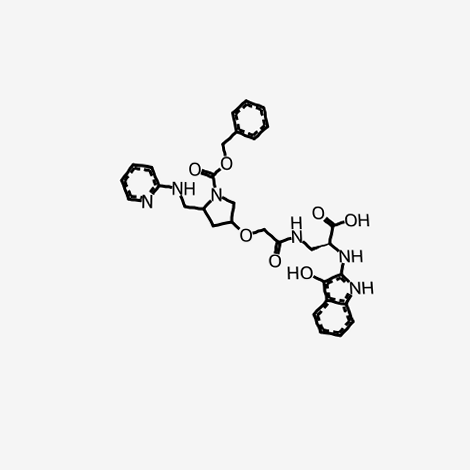 O=C(COC1CC(CNc2ccccn2)N(C(=O)OCc2ccccc2)C1)NC[C@H](Nc1[nH]c2ccccc2c1O)C(=O)O